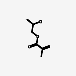 [CH2]C(Cl)COC(=O)C(=C)C